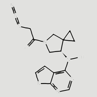 CN(c1ncnc2[nH]ccc12)[C@H]1CN(C(=O)CN=[N+]=[N-])CC12CC2